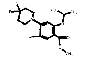 COC(=O)c1cc(Br)c(N2CCC(F)(F)CC2)cc1OC(C)C